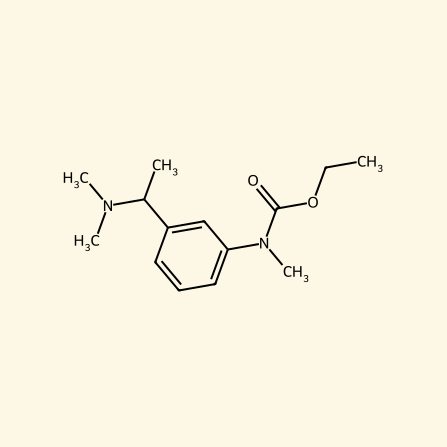 CCOC(=O)N(C)c1cccc(C(C)N(C)C)c1